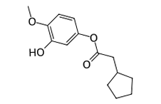 COc1ccc(OC(=O)CC2CCCC2)cc1O